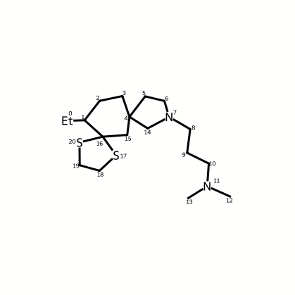 CCC1CCC2(CCN(CCCN(C)C)C2)CC12SCCS2